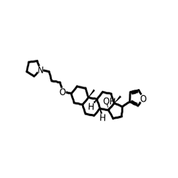 C[C@]12CCC(OCCCN3CCCC3)CC1CC[C@@H]1[C@H]2CC[C@]2(C)C(c3ccoc3)CC[C@@]12O